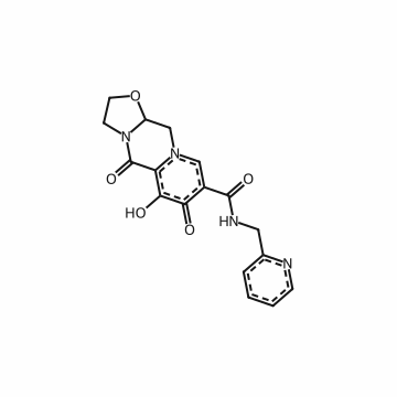 O=C(NCc1ccccn1)c1cn2c(c(O)c1=O)C(=O)N1CCOC1C2